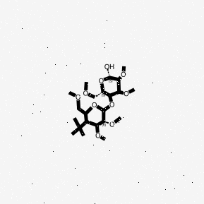 COCC1OC(OC2C(OC)C(OC)[C@@H](O)O[C@H]2COC)[C@H](OC)C(OC)C1C(C)(C)C